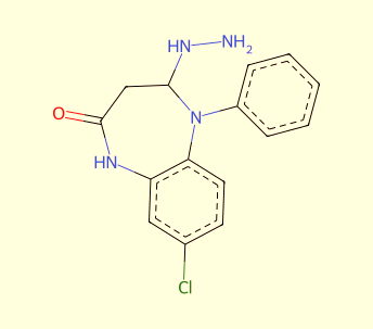 NNC1CC(=O)Nc2cc(Cl)ccc2N1c1ccccc1